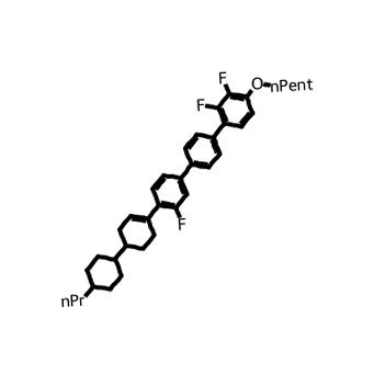 CCCCCOc1ccc(-c2ccc(-c3ccc(C4=CCC(C5CCC(CCC)CC5)CC4)c(F)c3)cc2)c(F)c1F